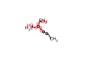 C=C(CO)CCOc1cc(OCCOc2ccc(-c3ccc(CCCCC)cc3)cc2)cc(OCCC(=C)CO)c1